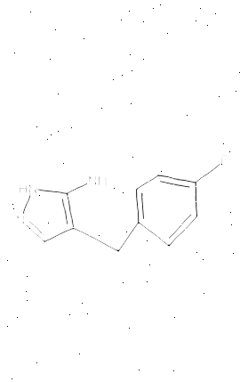 Nc1[nH]ncc1Cc1ccc(F)cc1